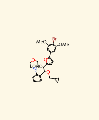 COc1cc(-c2ccc(C(C=O)C(OCC3CC3)c3ccccc3N3CCOCC3)o2)cc(OC)c1Br